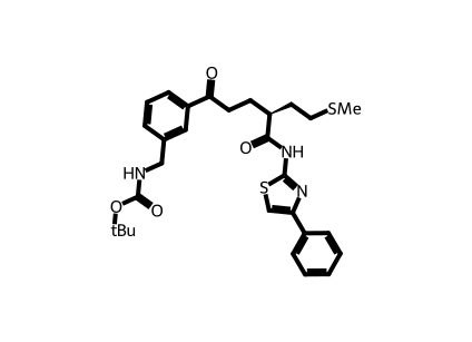 CSCC[C@H](CCC(=O)c1cccc(CNC(=O)OC(C)(C)C)c1)C(=O)Nc1nc(-c2ccccc2)cs1